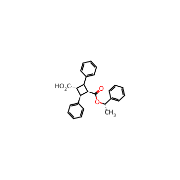 C[C@H](OC(=O)[C@@H]1C(c2ccccc2)[C@@H](C(=O)O)[C@@H]1c1ccccc1)c1ccccc1